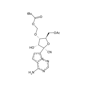 CC(=O)OC[C@H]1O[C@@](C#N)(c2ccc3c(N)ncnn23)[C@H](O)[C@@H]1OCOC(=O)C(C)(C)C